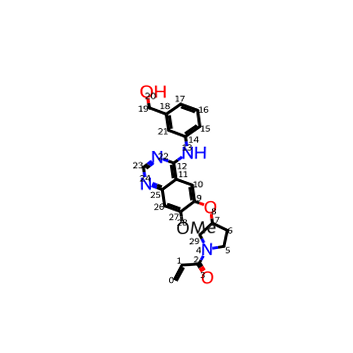 C=CC(=O)N1CCC(Oc2cc3c(Nc4cccc(CO)c4)ncnc3cc2OC)C1